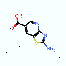 Nc1nc2ncc(C(=O)O)cc2s1